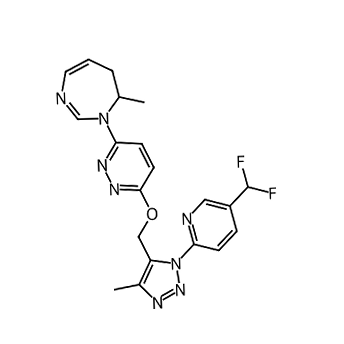 Cc1nnn(-c2ccc(C(F)F)cn2)c1COc1ccc(N2C=NC=CCC2C)nn1